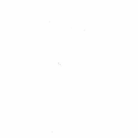 O=C(O)c1cc(NCCCc2ccc(Cl)c(Cl)c2)ccc1O